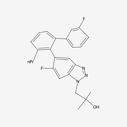 CCCc1cccc(-c2cccc(F)c2)c1-c1cc2nnn(CC(C)(C)O)c2cc1F